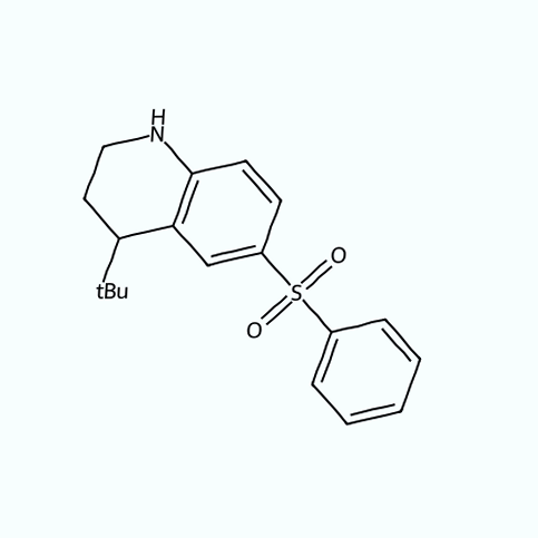 CC(C)(C)C1CCNc2ccc(S(=O)(=O)c3ccccc3)cc21